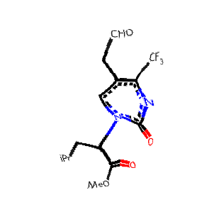 COC(=O)C(CC(C)C)n1cc(CC=O)c(C(F)(F)F)nc1=O